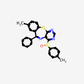 Cc1ccc([S+]([O-])c2ncnc3c2N=C(c2ccccc2)c2cc(C)ccc2S3)cc1